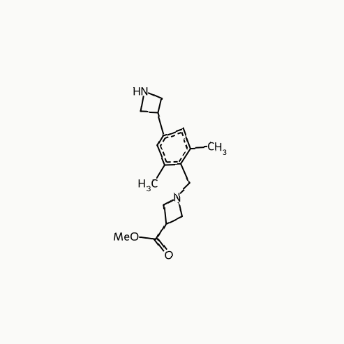 COC(=O)C1CN(Cc2c(C)cc(C3CNC3)cc2C)C1